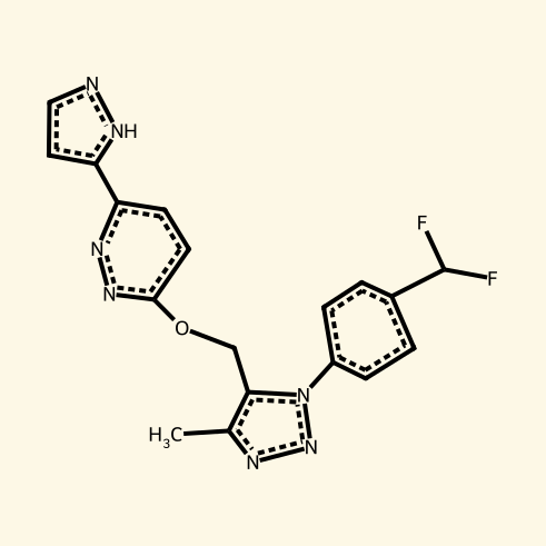 Cc1nnn(-c2ccc(C(F)F)cc2)c1COc1ccc(-c2ccn[nH]2)nn1